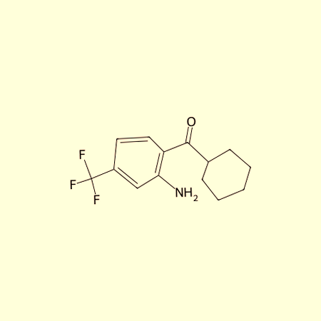 Nc1cc(C(F)(F)F)ccc1C(=O)C1CCCCC1